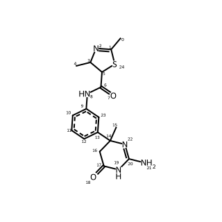 CC1=NC(C)C(C(=O)Nc2cccc(C3(C)CC(=O)NC(N)=N3)c2)S1